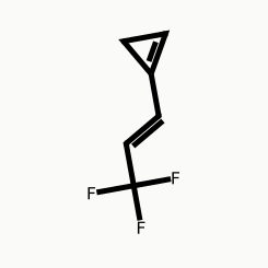 FC(F)(F)C=CC1=CC1